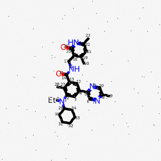 CCN(c1cc(-c2cnc(C)cn2)cc(C(=O)NCc2c(C)cc(C)[nH]c2=O)c1C)C1CCCCC1